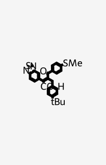 CSc1ccc(C(=O)C(Cc2ccc(C(C)(C)C)cc2)=C(C(=O)O)c2ccc3nsnc3c2)cc1